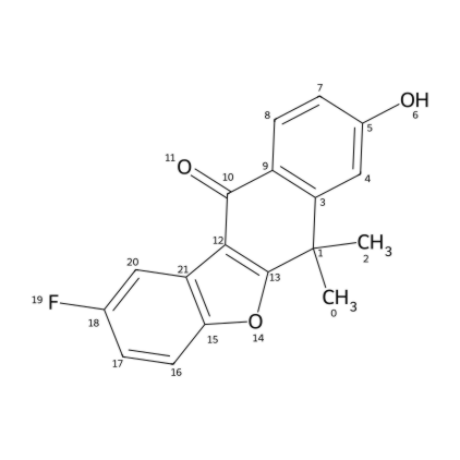 CC1(C)c2cc(O)ccc2C(=O)c2c1oc1ccc(F)cc21